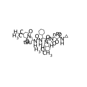 CCCC(NC(=O)[C@@H]1[C@H]2CCC(C)(C)[C@H]2CN1C(=O)[C@@H](NC(=O)N[C@H](CN1C(=O)CC(C)(C)CC1=O)C(C)(C)C)C1CCCCC1)C(=O)C(=O)NC1CC1